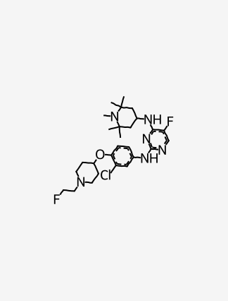 CN1C(C)(C)CC(Nc2nc(Nc3ccc(OC4CCN(CCF)CC4)c(Cl)c3)ncc2F)CC1(C)C